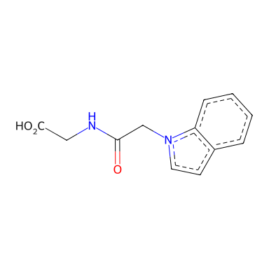 O=C(O)CNC(=O)Cn1ccc2ccccc21